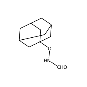 O=[C]NOC12CC3CC(CC(C3)C1)C2